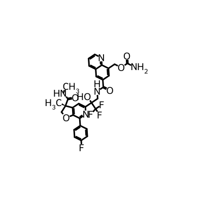 CNC(=O)[C@@]1(C)COc2c1cc(C(O)(CNC(=O)c1cc(COC(N)=O)c3ncccc3c1)C(F)(F)F)nc2-c1ccc(F)cc1